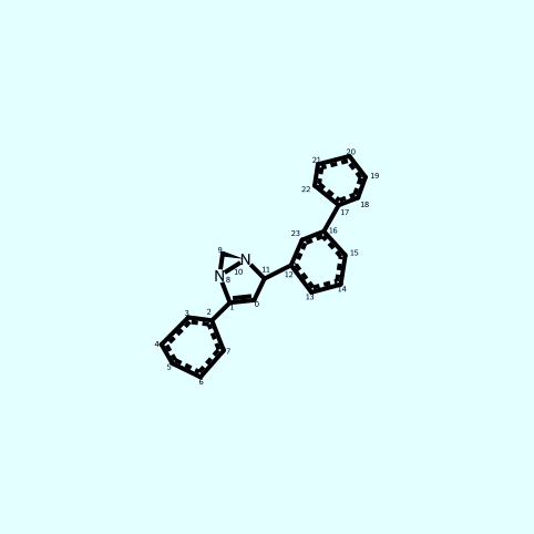 C1=C(c2ccccc2)N2C[N@@]2C1c1cccc(-c2ccccc2)c1